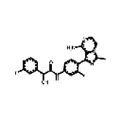 Cc1cc(NC(=O)C(O)c2cccc(F)c2)ccc1-c1nc(C)n2ccnc(N)c12